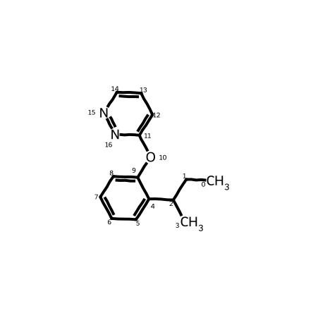 CCC(C)c1ccccc1Oc1cccnn1